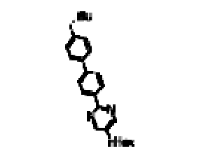 CCCCCCc1cnc(-c2ccc(-c3ccc(C[C@@H](C)CC)cc3)cc2)nc1